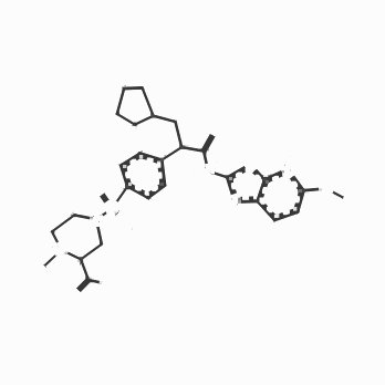 COc1ccc2nc(NC(=O)C(CC3CCCC3)c3ccc(S(=O)(=O)N4CCN(C)C(C(=O)O)C4)cc3)sc2n1